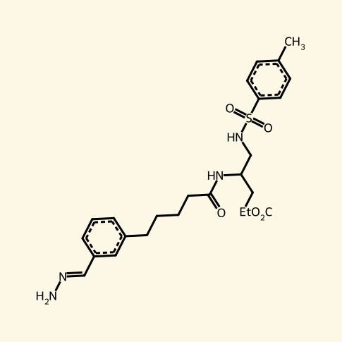 CCOC(=O)CC(CNS(=O)(=O)c1ccc(C)cc1)NC(=O)CCCCc1cccc(C=NN)c1